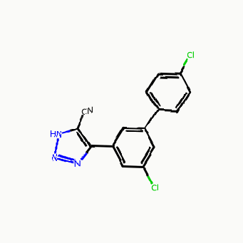 N#Cc1[nH]nnc1-c1cc(Cl)cc(-c2ccc(Cl)cc2)c1